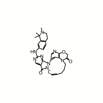 CN1CCc2ccc(Nc3ncc4c(=O)n5n(c4n3)-c3cnc4c(c3)N(CCC/C=C\C5)C(=O)CO4)cc2C1(C)C